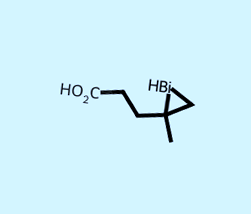 C[C]1(CCC(=O)O)[CH2][BiH]1